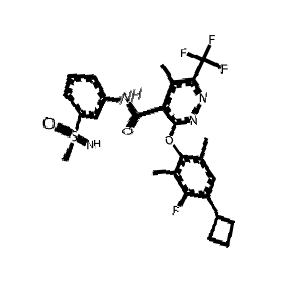 Cc1cc(C2CCC2)c(F)c(C)c1Oc1nnc(C(F)(F)F)c(C)c1C(=O)Nc1cccc(S(C)(=N)=O)c1